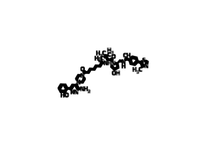 Cc1ncsc1-c1ccc([C@@H](C)NC[C@H]2C[C@H](O)CN2C(=O)[C@H](NC(=O)CCCCCC(=O)N2CCN(c3cc(-c4ccccc4O)nnc3N)CC2)C(C)(C)C)cc1